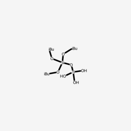 CCC(C)O[Si](OC(C)CC)(OC(C)CC)[O][Ti]([OH])([OH])[OH]